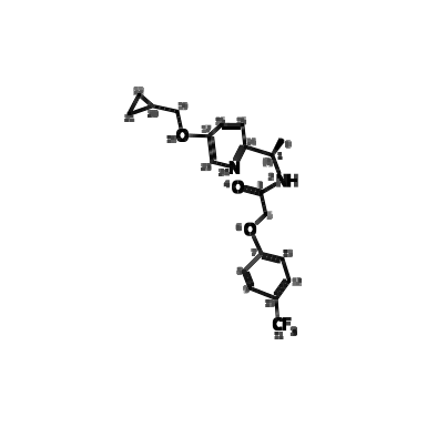 C[C@@H](NC(=O)COc1ccc(C(F)(F)F)cc1)c1ccc(OCC2CC2)cn1